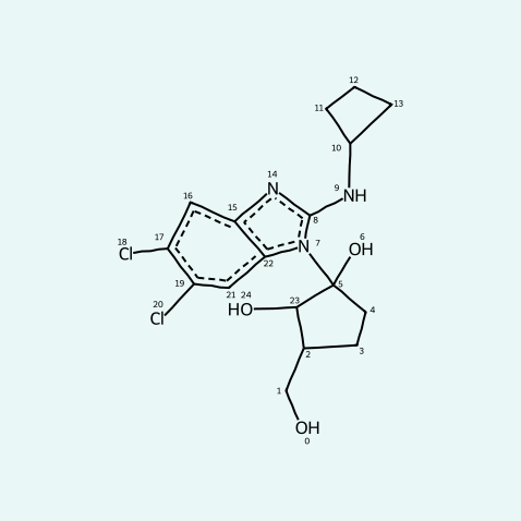 OCC1CCC(O)(n2c(NC3CCC3)nc3cc(Cl)c(Cl)cc32)C1O